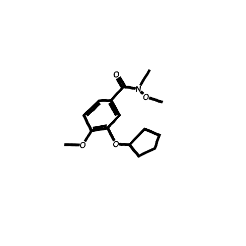 COc1ccc(C(=O)N(C)OC)cc1OC1CCCC1